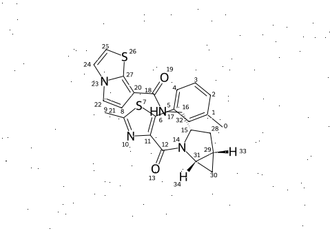 Cc1cccc(-c2sc(C)nc2C(=O)N2[C@H](CNC(=O)c3ccn4ccsc34)C[C@@H]3C[C@@H]32)c1